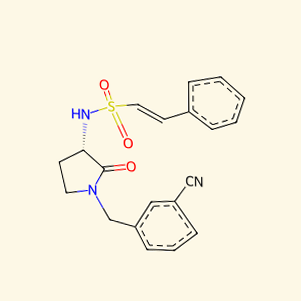 N#Cc1cccc(CN2CC[C@H](NS(=O)(=O)C=Cc3ccccc3)C2=O)c1